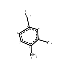 Nc1[c]cc(C(F)(F)F)cc1Cl